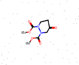 CC(C)(C)OC(=O)N1CCC(=O)CN1C(=O)OC(C)(C)C